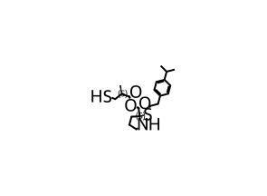 CC(C)c1ccc(CCS[C@]2(C(=O)OC(=O)[C@H](C)CS)CCCN2)cc1